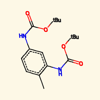 Cc1ccc(NC(=O)OC(C)(C)C)cc1NC(=O)OC(C)(C)C